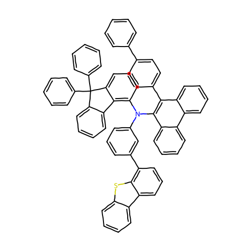 c1ccc(-c2ccc(-c3c(N(c4cccc(-c5cccc6c5sc5ccccc56)c4)c4cccc5c4-c4ccccc4C5(c4ccccc4)c4ccccc4)c4ccccc4c4ccccc34)cc2)cc1